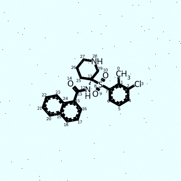 Cc1c(Cl)cccc1S(=O)(=O)[C@@]1(NC(=O)c2cccc3ccccc23)CCCNC1